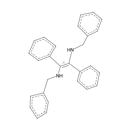 c1ccc(CN/C(=C(/NCc2ccccc2)c2ccccc2)c2ccccc2)cc1